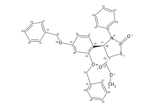 COC(=O)[C@H]1SC(=O)N(c2ccccc2)[C@@H]1c1ccc(OCc2ccccc2)cc1OCc1ccccc1